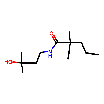 CCCC(C)(C)C(=O)NCCC(C)(C)O